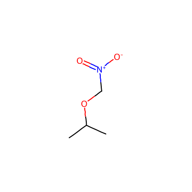 CC(C)OC[N+](=O)[O-]